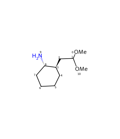 COC(C[C@H]1CCCC[C@@H]1N)OC